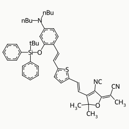 [C-]#[N+]C1=C(/C=C/c2ccc(/C=C/c3ccc(N(CCCC)CCCC)cc3O[Si](c3ccccc3)(c3ccccc3)C(C)(C)C)s2)C(C)(C)O/C1=C(\C)C#N